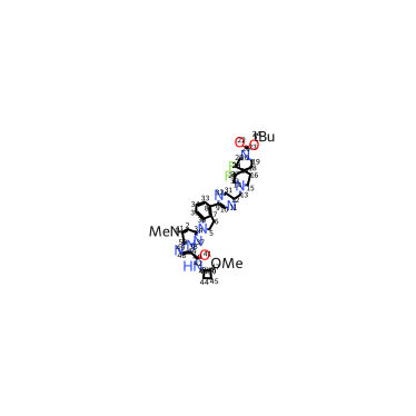 CNc1cc(N2CCc3c(-c4cnc(CN5CCC6(CCN(C(=O)OC(C)(C)C)CC6)C(F)(F)C5)cn4)cccc32)nn2c(C(=O)N[C@@H]3CC[C@H]3OC)cnc12